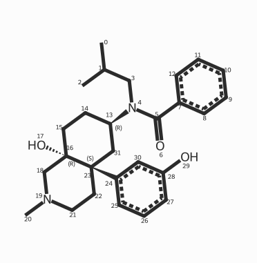 CC(C)CN(C(=O)c1ccccc1)[C@@H]1CC[C@]2(O)CN(C)CC[C@@]2(c2cccc(O)c2)C1